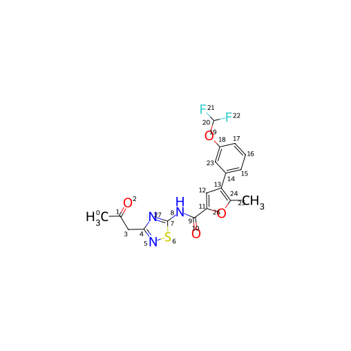 CC(=O)Cc1nsc(NC(=O)c2cc(-c3cccc(OC(F)F)c3)c(C)o2)n1